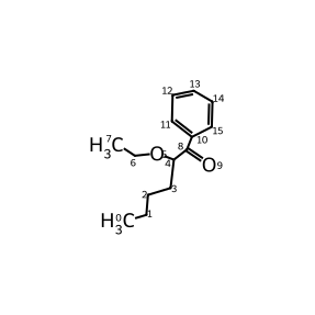 CCCCC(OCC)C(=O)c1ccccc1